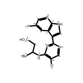 CC(C)(C)C(CC(=O)O)Nc1nc(-c2c[nH]c3ncc(F)cc23)ncc1Cl